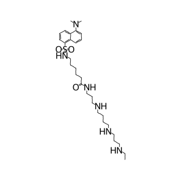 CCNCCCNCCCCNCCCNC(=O)CCCCCNS(=O)(=O)c1cccc2c(N(C)C)cccc12